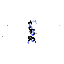 [2H]c1ccc2c(N3C[C@@H](C)N4Cc5nc(N6CC[C@](C)(N)C6)ccc5[C@H]4C3)ccc(C#N)c2n1